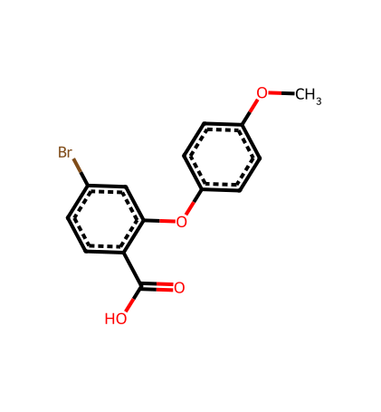 COc1ccc(Oc2cc(Br)ccc2C(=O)O)cc1